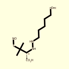 CCCCCCCCCCCCCCCNN[C@H](C(=O)O)C(C)(C)SN=O